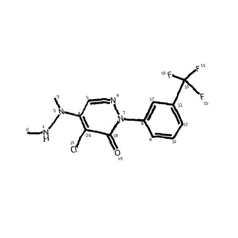 CNN(C)c1cnn(-c2cccc(C(F)(F)F)c2)c(=O)c1Cl